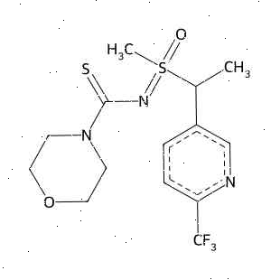 CC(c1ccc(C(F)(F)F)nc1)S(C)(=O)=NC(=S)N1CCOCC1